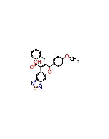 COc1ccc(C(=O)C(Cc2ccccc2)=C(C(=O)O)c2ccc3nsnc3c2)cc1